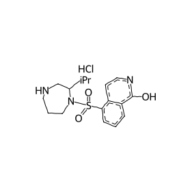 CC(C)C1CNCCCN1S(=O)(=O)c1cccc2c(O)nccc12.Cl